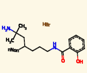 Br.CCCCCCCCCC(CCCNC(=O)c1ccccc1O)CC(C)(C)N